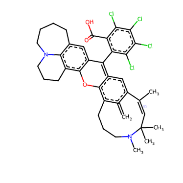 C=c1c2cc3c(c1CCCN(C)C(C)(C)/C=C\2C)Oc1c(cc2c4c1CCCN4CCCC2)C=3c1c(Cl)c(Cl)c(Cl)c(Cl)c1C(=O)O